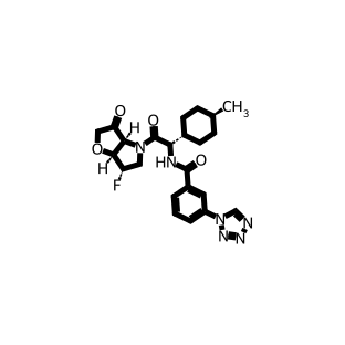 C[C@H]1CC[C@H](C(NC(=O)c2cccc(-n3cnnn3)c2)C(=O)N2C[C@H](F)[C@H]3OCC(=O)[C@H]32)CC1